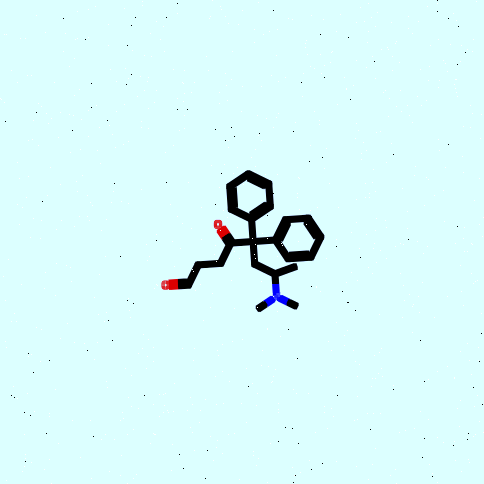 CC(CC(C(=O)CCC=O)(c1ccccc1)c1ccccc1)N(C)C